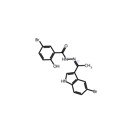 C/C(=N/NC(=O)c1cc(Br)ccc1O)c1c[nH]c2ccc(Br)cc12